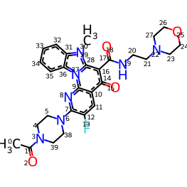 CC(=O)N1CCN(c2nc3c(cc2F)c(=O)c(C(=O)NCCN2CCOCC2)c2n(C)c4ccccc4n32)CC1